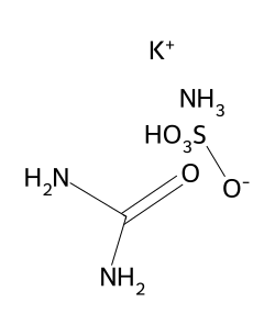 N.NC(N)=O.O=S(=O)([O-])O.[K+]